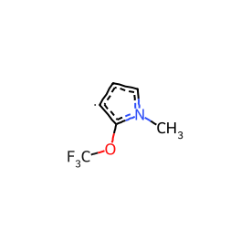 Cn1cc[c]c1OC(F)(F)F